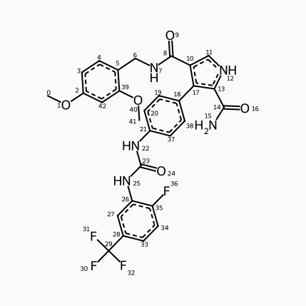 COc1ccc(CNC(=O)c2c[nH]c(C(N)=O)c2-c2ccc(NC(=O)Nc3cc(C(F)(F)F)ccc3F)cc2)c(OC)c1